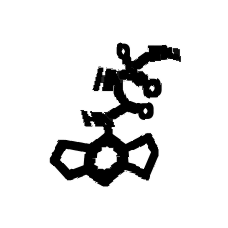 CCC(C)S(=O)(=O)NC(=O)Nc1c2c(cc3c1CCC3)CCC2